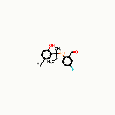 CCC(C)(Pc1ccc(F)cc1C=O)c1cc(C)ccc1O